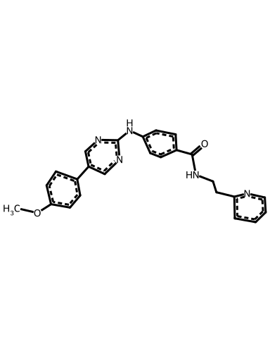 COc1ccc(-c2cnc(Nc3ccc(C(=O)NCCc4ccccn4)cc3)nc2)cc1